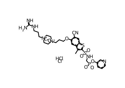 Cc1c(S(=O)(=O)NCP(=O)([O-])Oc2cccnc2)sc2cc(C#N)c(OCCC[N+]34CC[N+](CCCNC(=N)N)(CC3)CC4)cc12.Cl.[Cl-]